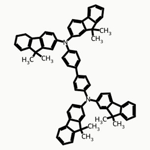 CC1(C)C2=C(CCC=C2)c2ccc(N(c3ccc(-c4ccc(N(c5ccc6c(c5)C(C)(C)c5ccccc5-6)c5ccc6c(c5)C(C)(C)c5ccccc5-6)cc4)cc3)c3ccc4c(c3)C(C)(C)c3ccccc3-4)cc21